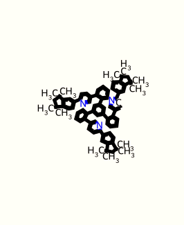 CC1(C)CC(C)(C)c2cc(-c3ccc(-c4ccccc4-c4cc(-c5ccccc5-c5ccc(-c6ccc7c(c6)C(C)(C)CC7(C)C)nc5)cc(-c5ccccc5-c5ccc(-c6ccc7c(c6)C(C)(C)CC7(C)C)nc5)c4)cn3)ccc21